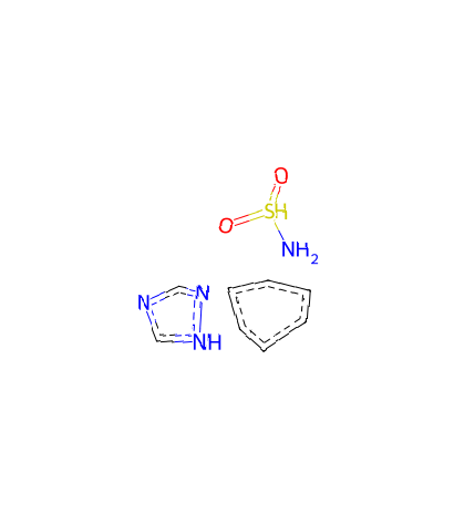 N[SH](=O)=O.c1ccccc1.c1nc[nH]n1